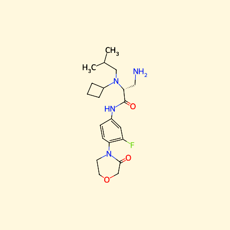 CC(C)CN(C1CCC1)[C@H](CN)C(=O)Nc1ccc(N2CCOCC2=O)c(F)c1